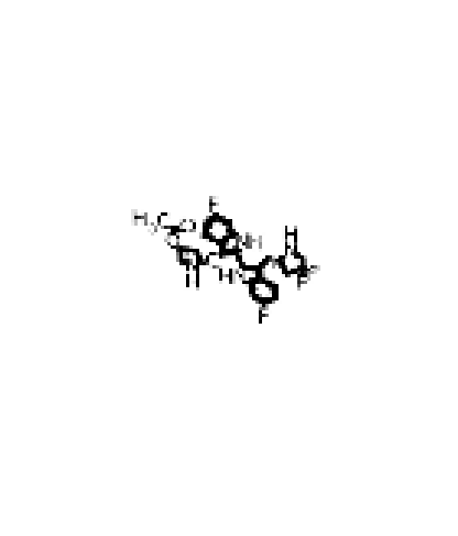 CC(=O)O[C@@H]1CN[C@H](Cc2c(-c3[nH]c4cc(F)ccc4c3C[C@@H]3CC(F)(F)CN3)[nH]c3cc(F)ccc23)C1